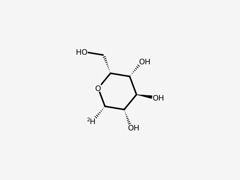 [2H][C@@H]1O[C@H](CO)[C@H](O)[C@@H](O)[C@@H]1O